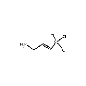 PCC=C[Si](Cl)(Cl)Cl